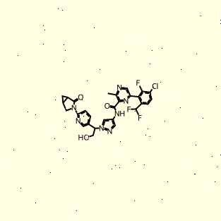 Cc1ncc(-c2c(C(F)F)ccc(Cl)c2F)nc1C(=O)Nc1cnn(C(CO)c2ccc(N3CC4CC4C3=O)nc2)c1